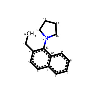 CCc1ccc2ccccc2c1N1CCCC1